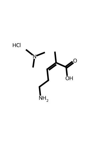 CC(=CCCN)C(=O)O.CN(C)C.Cl